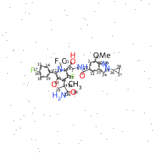 COc1cc(C(=O)NC[C@](O)(c2nc(-c3ccc(F)cc3)c3c(c2F)[C@@](C)(C(N)=O)CO3)C(F)(F)F)cc2cn(C3CC3)nc12